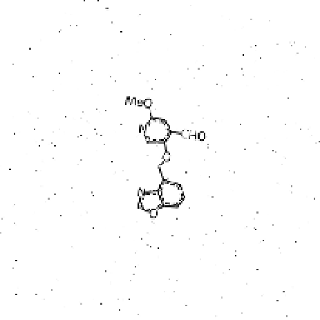 COc1cc(C=O)c(OCc2cccc3ocnc23)cn1